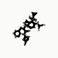 O=C(Nc1ncc(F)s1)C(CC1CCOCC1)n1ncc2c(S(=O)(=O)C3CC3)c(OC(F)F)ccc21